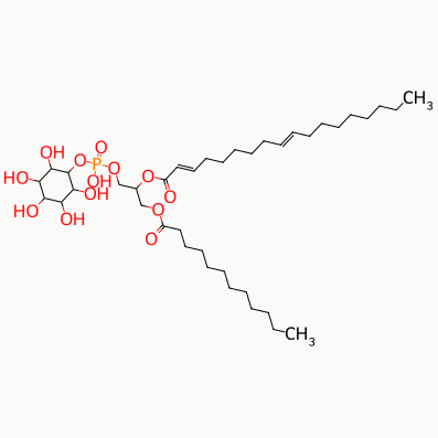 CCCCCCCCC=CCCCCCC=CC(=O)OC(COC(=O)CCCCCCCCCCC)COP(=O)(O)OC1C(O)C(O)C(O)C(O)C1O